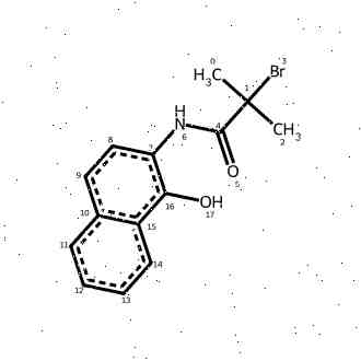 CC(C)(Br)C(=O)Nc1ccc2ccccc2c1O